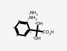 N.N.O=C(O)C(O)(O)c1ccccc1